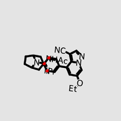 CCOc1cc(-c2ccc(N3C4CCC3CC(NC(C)=O)(C(C)C)C4)nc2)c2c(C#N)cnn2c1